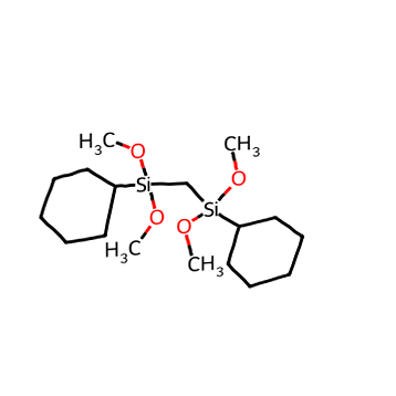 CO[Si](C[Si](OC)(OC)C1CCCCC1)(OC)C1CCCCC1